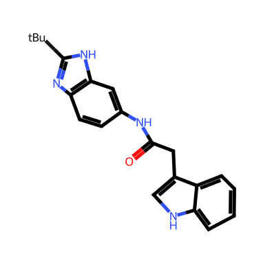 CC(C)(C)c1nc2ccc(NC(=O)Cc3c[nH]c4ccccc34)cc2[nH]1